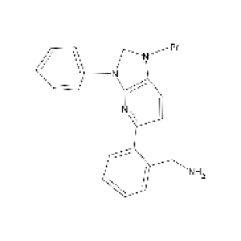 CC(C)N1CN(c2ccccc2)c2nc(-c3ccccc3CN)ccc21